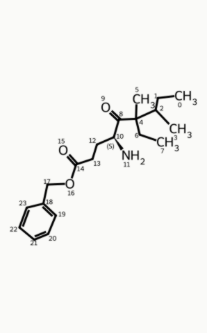 CCC(C)C(C)(CC)C(=O)[C@@H](N)CCC(=O)OCc1ccccc1